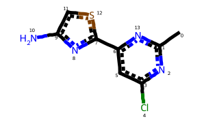 Cc1nc(Cl)cc(-c2nc(N)cs2)n1